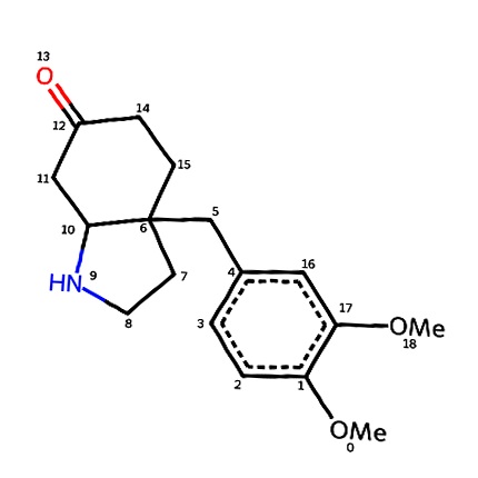 COc1ccc(CC23CCNC2CC(=O)CC3)cc1OC